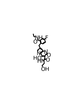 CCNC(=O)c1cc(F)ccc1Cc1cnc2c(O)c(C(=O)NCCO)c(=O)n(C)c2c1